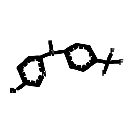 CN(c1ccc(C(F)(F)F)cc1)c1ccc(Br)cn1